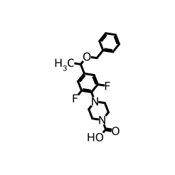 CC(OCc1ccccc1)c1cc(F)c(N2CCN(C(=O)O)CC2)c(F)c1